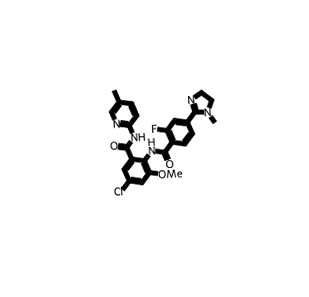 COc1cc(Cl)cc(C(=O)Nc2ccc(C)cn2)c1NC(=O)c1ccc(C2=NCCN2C)cc1F